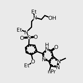 CCCc1nn(C)c2c(=O)[nH]c(-c3cc(S(=O)(=O)N(CC)CCN(CC)CCO)ccc3OCC)nc12